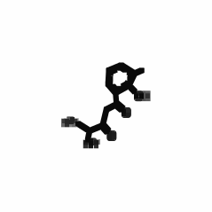 CCCC(CCC)C(=O)CC(=O)c1cccc(C)c1O